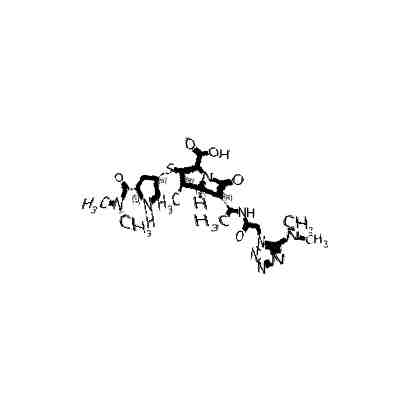 CC(NC(=O)Cn1nnnc1N(C)C)[C@H]1C(=O)N2C(C(=O)O)=C(S[C@@H]3CN[C@H](C(=O)N(C)C)C3)[C@H](C)[C@H]12